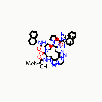 CN[C@@H](C)C(=O)N[C@@H](Cc1nnn2c1-c1c(C[C@H](NC(=O)[C@H](C)NC)C(=O)N3CCC[C@H]3C(=O)N[C@@H]3CCCc4ccccc43)nnn1CC2)C(=O)N1CCCC1C(=O)N[C@@H]1CCCc2ccccc21